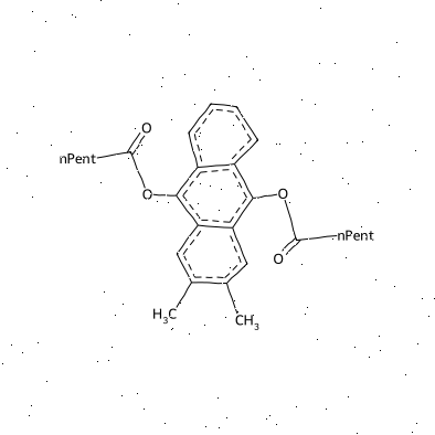 CCCCCC(=O)Oc1c2ccccc2c(OC(=O)CCCCC)c2cc(C)c(C)cc12